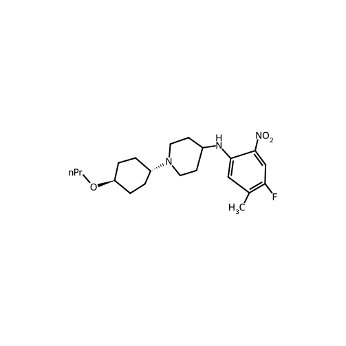 CCCO[C@H]1CC[C@H](N2CCC(Nc3cc(C)c(F)cc3[N+](=O)[O-])CC2)CC1